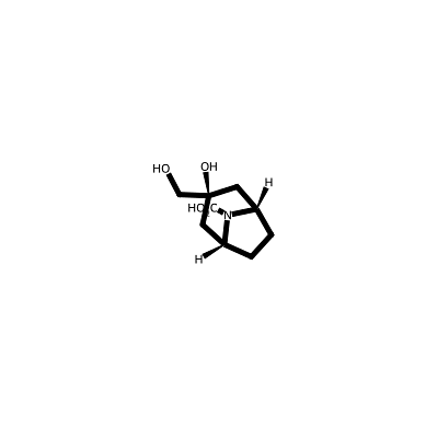 O=C(O)N1[C@@H]2CC[C@H]1C[C@@](O)(CO)C2